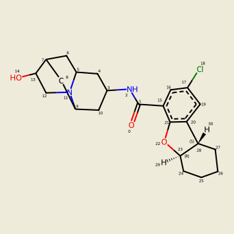 O=C(NC1CC2CC3CC(C1)N2CC3O)c1cc(Cl)cc2c1O[C@@H]1CCCC[C@@H]21